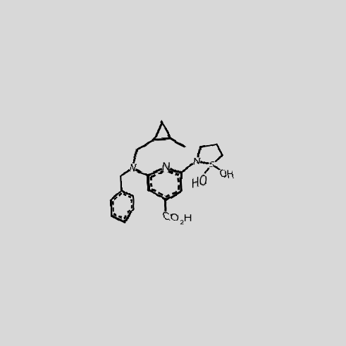 CC1CC1CN(Cc1ccccc1)c1cc(C(=O)O)cc(N2CCCS2(O)O)n1